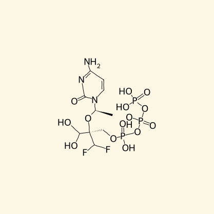 C[C@@H](O[C@](COP(=O)(O)OP(=O)(O)OP(=O)(O)O)(C(O)O)C(F)F)n1ccc(N)nc1=O